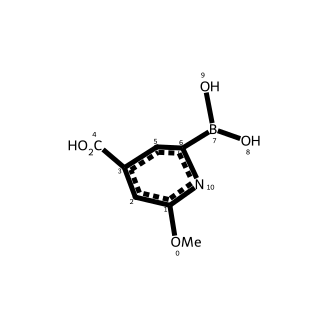 COc1cc(C(=O)O)cc(B(O)O)n1